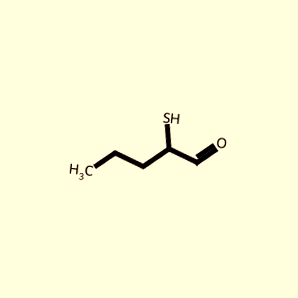 CCCC(S)[C]=O